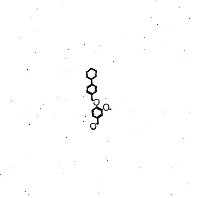 COc1cc(C=O)ccc1OCc1ccc(C2CCCCC2)cc1